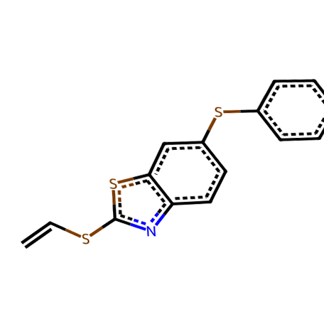 C=CSc1nc2ccc(Sc3ccccc3)cc2s1